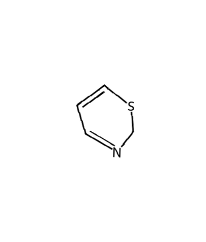 C1=CSCN=C1